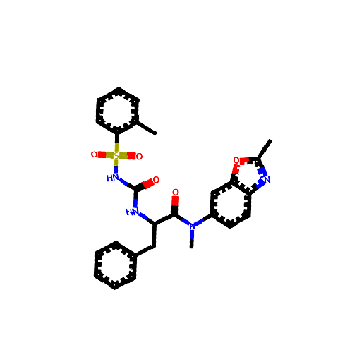 Cc1nc2ccc(N(C)C(=O)C(Cc3ccccc3)NC(=O)NS(=O)(=O)c3ccccc3C)cc2o1